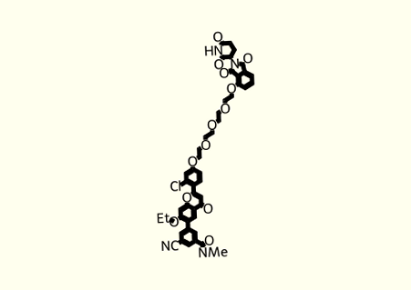 CCOc1cc2oc(-c3ccc(OCCOCCOCCOCCOc4cccc5c4C(=O)N(C4CCC(=O)NC4=O)C5=O)cc3Cl)cc(=O)c2cc1-c1cc(C#N)cc(C(=O)NC)c1